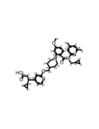 COc1ccc(C(=O)N(CC2CC2)c2cc(C)cc(C)n2)c(N2CCC(COc3cc(C(CC(=O)O)C4CC4)ccn3)CC2)c1